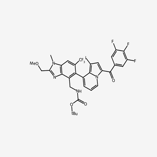 COCc1nc2c(CNC(=O)OC(C)(C)C)c(-c3cccn4c(C(=O)c5cc(F)c(F)c(F)c5)cc(I)c34)c(C(F)(F)F)cc2n1C